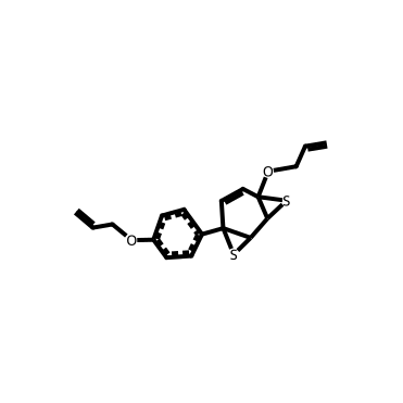 C=CCOc1ccc(C23C=CC4(OCC=C)SC4C2S3)cc1